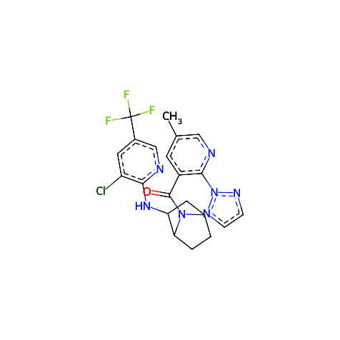 Cc1cnc(-n2nccn2)c(C(=O)N2C3CCC2C(Nc2ncc(C(F)(F)F)cc2Cl)C3)c1